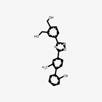 Cc1cc(-c2nc(-c3ccc(CO)c(CO)c3)no2)ccc1-c1ccccc1C#N